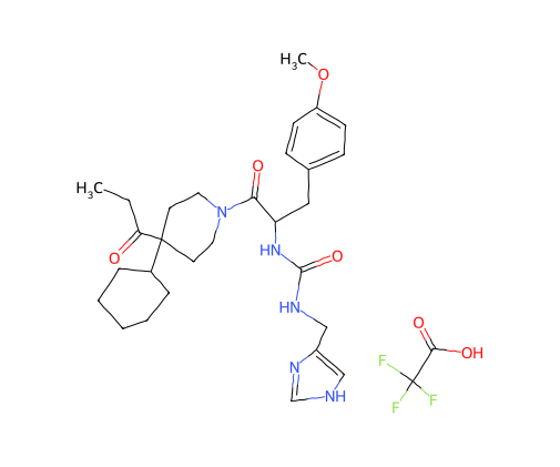 CCC(=O)C1(C2CCCCC2)CCN(C(=O)C(Cc2ccc(OC)cc2)NC(=O)NCc2c[nH]cn2)CC1.O=C(O)C(F)(F)F